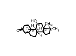 C[C@]12C=CC(=O)C=C1CC[C@@H]1[C@@H]2[C@H](O)C[C@@]2(C)[C@H]1CC[C@]2(C)O